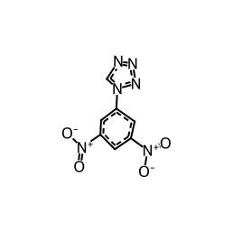 O=[N+]([O-])c1cc(-n2cnnn2)cc([N+](=O)[O-])c1